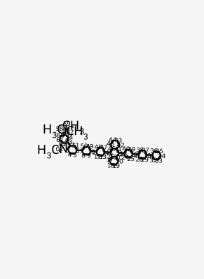 CCn1c2ccc(-c3ccc(-c4ccc(-c5c6ccccc6c(-c6ccc(-c7ccc(-c8ccccc8)cc7)cc6)c6ccccc56)cc4)cc3)cc2c2cc(C(C)(C)C)ccc21